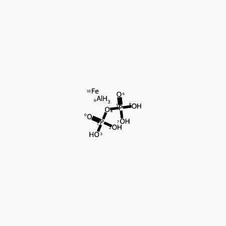 O=P(O)(O)OP(=O)(O)O.[AlH3].[Fe]